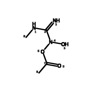 CNC(=N)N(O)OC(C)=O